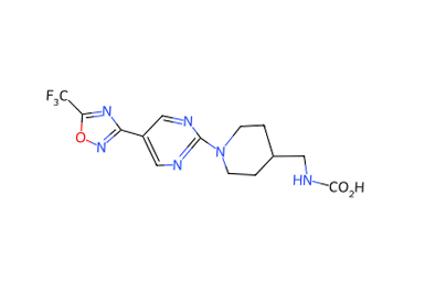 O=C(O)NCC1CCN(c2ncc(-c3noc(C(F)(F)F)n3)cn2)CC1